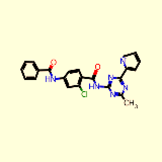 Cc1nc(NC(=O)c2ccc(NC(=O)c3ccccc3)cc2Cl)nc(-c2ccccn2)n1